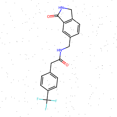 O=C(Cc1ccc(C(F)(F)F)cc1)NCc1ccc2c(c1)C(=O)NC2